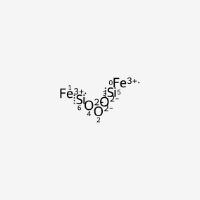 [Fe+3].[Fe+3].[O-2].[O-2].[O-2].[Si].[Si]